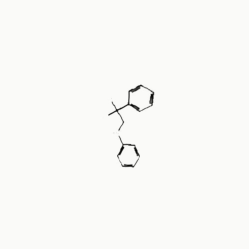 CC(O)(CNc1ccccc1)c1ccccc1